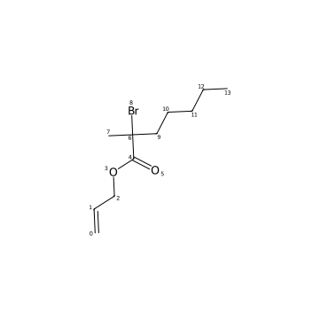 C=CCOC(=O)C(C)(Br)CCCCC